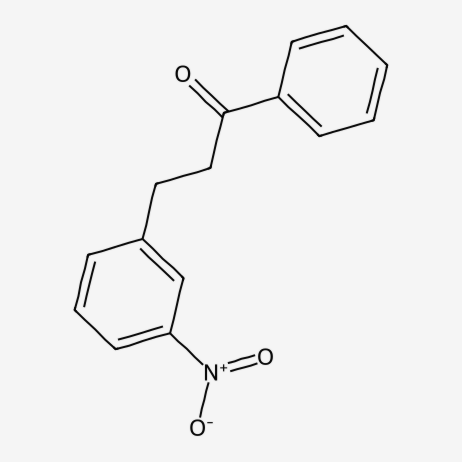 O=C(CCc1cccc([N+](=O)[O-])c1)c1ccccc1